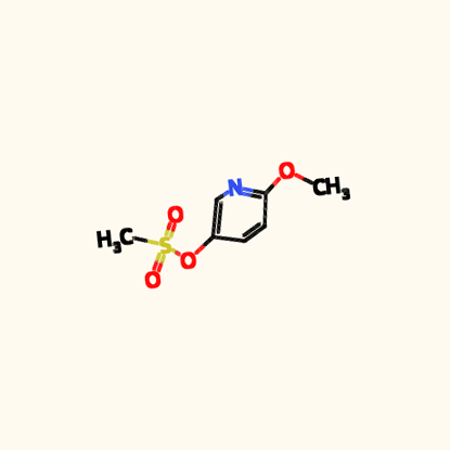 COc1ccc(OS(C)(=O)=O)cn1